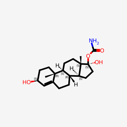 C[C@]12CC[C@H](O)C=C1CC[C@@H]1[C@@H]2CC[C@@]2(C)[C@H]1CC[C@]2(O)OC(N)=O